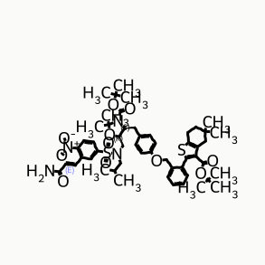 CC(C)CN(C[C@H]1OC(C)(C)N(C(=O)OC(C)(C)C)[C@H]1Cc1ccc(OCc2ccccc2-c2sc3c(c2C(=O)OC(C)(C)C)CC(C)(C)CC3)cc1)S(=O)(=O)c1ccc([N+](=O)[O-])c(/C=C/C(N)=O)c1